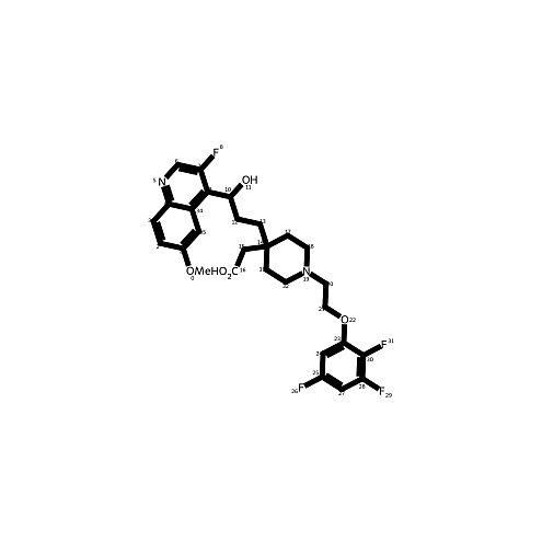 COc1ccc2ncc(F)c(C(O)CCC3(CC(=O)O)CCN(CCOc4cc(F)cc(F)c4F)CC3)c2c1